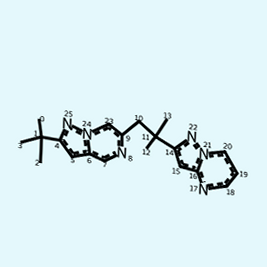 CC(C)(C)c1cc2cnc(CC(C)(C)c3cc4ncccn4n3)cn2n1